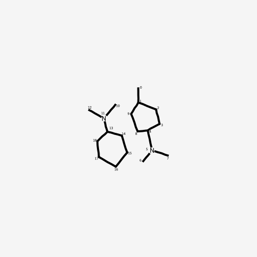 CC1CCC(N(C)C)CC1.CN(C)C1CCCCC1